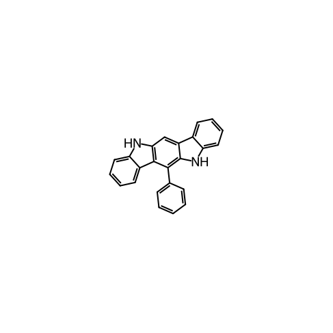 c1ccc(-c2c3[nH]c4ccccc4c3cc3[nH]c4ccccc4c23)cc1